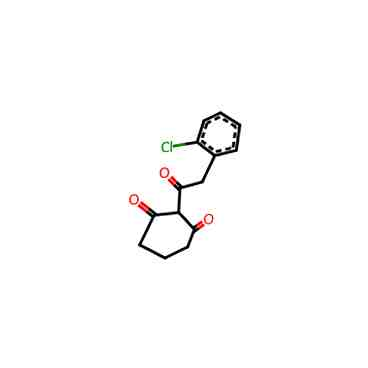 O=C1CCCC(=O)C1C(=O)Cc1ccccc1Cl